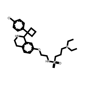 C=S(=O)(CCCN(CC)CC)NCCOc1ccc2c(c1)C(C1(c3ccc(Cl)cc3)CCC1)NCC2